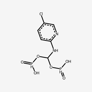 O=[PH](O)OC(Nc1ccc(Cl)cn1)O[PH](=O)O